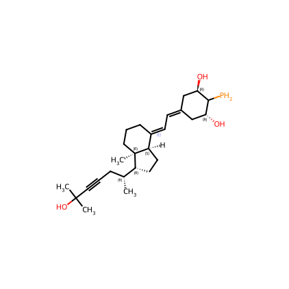 C[C@H](CC#CC(C)(C)O)[C@H]1CC[C@@H]2/C(=C/C=C3C[C@@H](O)C(P)[C@H](O)C3)CCC[C@@]21C